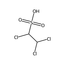 O=S(=O)(O)C(Cl)C(Cl)Cl